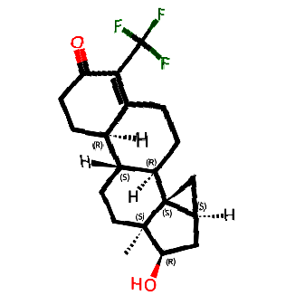 C[C@]12CC[C@H]3[C@@H](CCC4=C(C(F)(F)F)C(=O)CC[C@@H]43)[C@@]13C[C@H]3C[C@H]2O